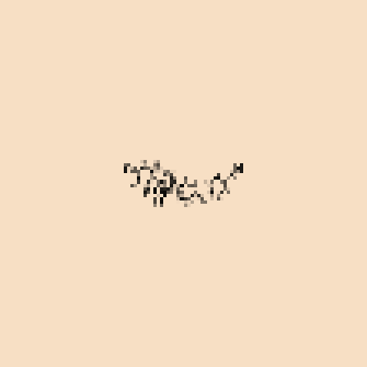 N#Cc1ccc(Oc2ccc(C(F)(F)C(O)(CI)c3ccc(F)cc3F)nc2)cc1